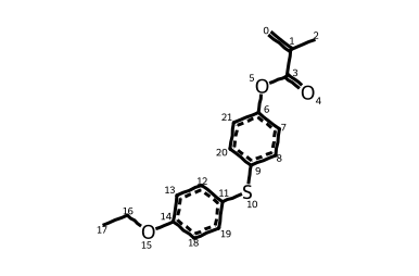 C=C(C)C(=O)Oc1ccc(Sc2ccc(OCC)cc2)cc1